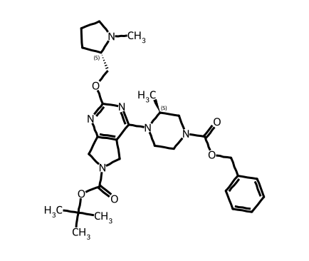 C[C@H]1CN(C(=O)OCc2ccccc2)CCN1c1nc(OC[C@@H]2CCCN2C)nc2c1CN(C(=O)OC(C)(C)C)C2